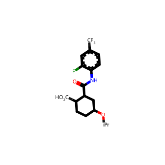 CC(C)OC1CCC(C(=O)O)C(C(=O)Nc2ccc(C(F)(F)F)cc2F)C1